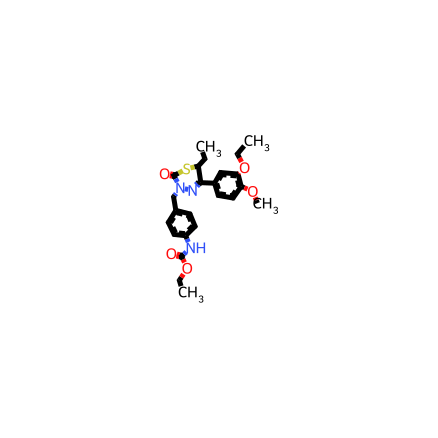 CCOC(=O)Nc1ccc(CN2N=C(c3ccc(OC)c(OCC)c3)C(CC)SC2=O)cc1